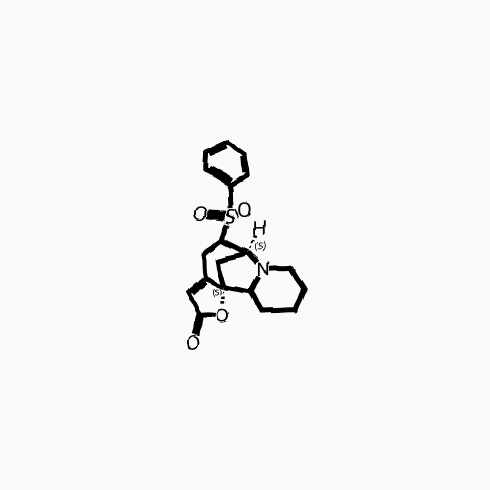 O=C1C=C2CC(S(=O)(=O)c3ccccc3)[C@@H]3C[C@@]2(O1)C1CCCCN13